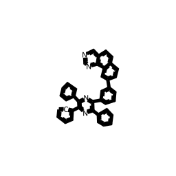 c1ccc(-c2nc(-c3ccccc3)c(-c3cccc(-c4ccc5ccc6cncnc6c5c4)c3)nc2-c2ccccc2)cc1